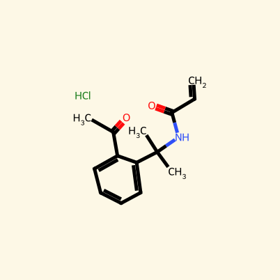 C=CC(=O)NC(C)(C)c1ccccc1C(C)=O.Cl